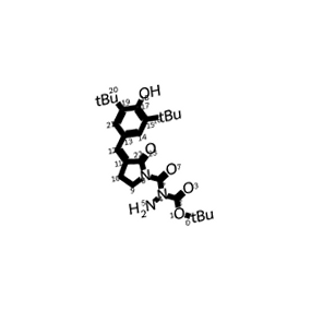 CC(C)(C)OC(=O)N(N)C(=O)N1CC/C(=C/c2cc(C(C)(C)C)c(O)c(C(C)(C)C)c2)C1=O